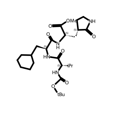 COC(=O)[C@H](C[C@@H]1CCNC1=O)NC(=O)[C@H](CC1CCCCC1)NC(=O)[C@@H](NC(=O)OC(C)(C)C)C(C)C